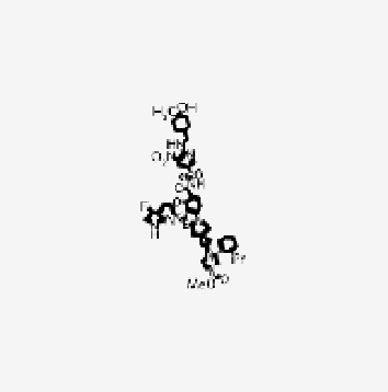 CCOc1nc2[nH]cc(F)c2cc1Oc1cc(N2CCC3(CC2)CC(N2CCN(C(=O)OC)C[C@H]2c2ccccc2C(C)C)C3)ccc1C(=O)NS(=O)(=O)c1cnc(NCC2CCC(C)(O)CC2)c([N+](=O)[O-])c1